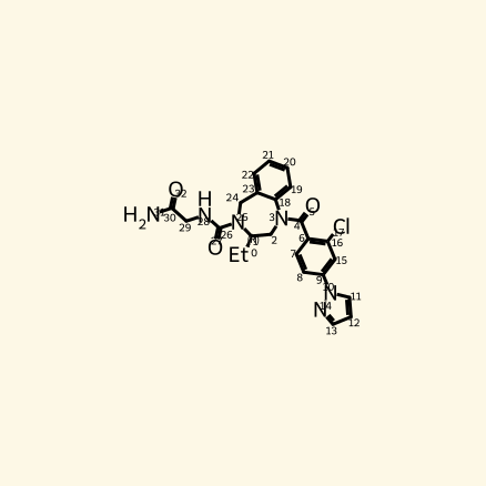 CC[C@@H]1CN(C(=O)c2ccc(-n3cccn3)cc2Cl)c2ccccc2CN1C(=O)NCC(N)=O